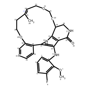 COc1c(F)cccc1Nc1c2[nH]c3c1C(=O)NCC3CCOC/C=C(\C)CCOc1cnccc1-2